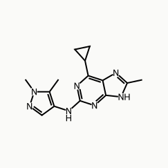 Cc1nc2c(C3CC3)nc(Nc3cnn(C)c3C)nc2[nH]1